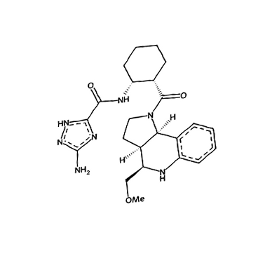 COC[C@@H]1Nc2ccccc2[C@H]2[C@@H]1CCN2C(=O)[C@H]1CCCC[C@H]1NC(=O)c1nc(N)n[nH]1